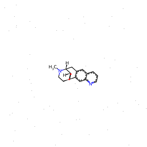 CN1CC[C@]23CCCC[C@H]2[C@H]1Cc1cc2cccnc2cc13